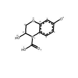 O=C(O)N1c2ccc(Cl)cc2OCC1O